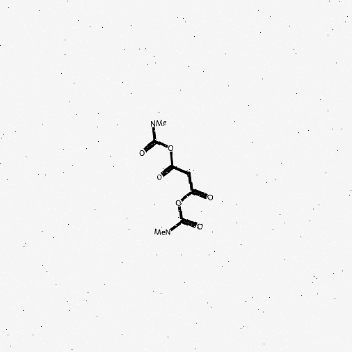 CNC(=O)OC(=O)CC(=O)OC(=O)NC